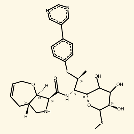 CSC1O[C@H]([C@H](NC(=O)[C@H]2NC[C@@H]3CC=CCO[C@H]32)[C@H](C)Sc2ccc(-c3cncnc3)cc2)C(O)C(O)[C@H]1O